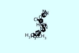 C=CC(=O)N1CCN(c2ccc3ncnc(Nc4ccc(Oc5ccn6ncnc6c5)c(Cl)c4)c3n2)CC1(C)C